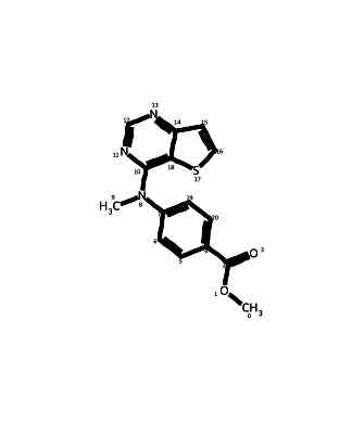 COC(=O)c1ccc(N(C)c2ncnc3ccsc23)cc1